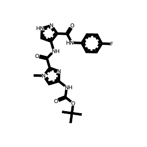 Cn1cc(NC(=O)OC(C)(C)C)nc1C(=O)Nc1c[nH]nc1C(=O)Nc1ccc(F)cc1